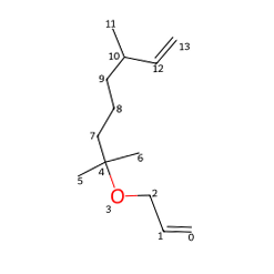 C=CCOC(C)(C)CCCC(C)C=C